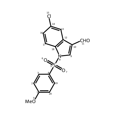 COc1ccc(S(=O)(=O)n2cc(C=O)c3cc(Cl)ccc32)cc1